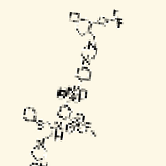 O=C(NS(=O)(=O)c1ccc(N[C@H](CCN2CCC(O)CC2)CSc2ccccc2)c(S(=O)(=O)C(F)(F)F)c1)c1ccc(N2CCN(CC3=C(C45CC(C(F)F)(C4)C5)CC4(CCC4)CC3)CC2)cc1